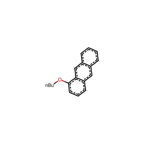 CCCCOc1cc[c]c2cc3ccccc3cc12